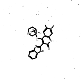 O=c1[nH]c2cc(F)c(I)cc2c(N[C@H]2CN3CCC2CC3)c1-c1nc2ccccc2[nH]1